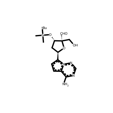 CC(C)(C)[Si](C)(C)O[C@H]1C[C@H](c2ccc3c(N)ncnn23)O[C@]1(C=O)CO